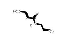 C=CCOC(=O)/C=C/C(=O)O.[Zn]